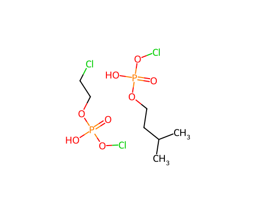 CC(C)CCOP(=O)(O)OCl.O=P(O)(OCl)OCCCl